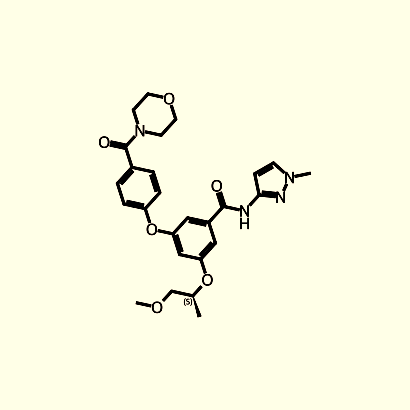 COC[C@H](C)Oc1cc(Oc2ccc(C(=O)N3CCOCC3)cc2)cc(C(=O)Nc2ccn(C)n2)c1